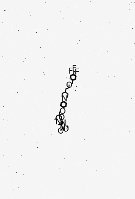 O=[N+]([O-])c1cn2c(n1)OC(COc1ccc(N3CCC(CCOCc4ccc(C(F)(F)F)cc4)CC3)cc1)CC2